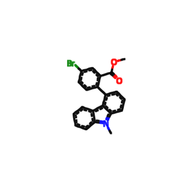 COC(=O)c1cc(Br)ccc1-c1cccc2c1c1ccccc1n2C